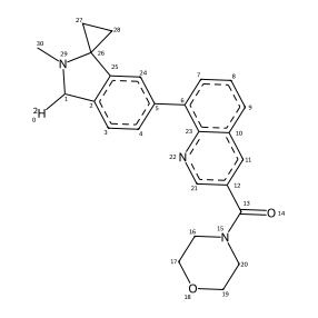 [2H]C1c2ccc(-c3cccc4cc(C(=O)N5CCOCC5)cnc34)cc2C2(CC2)N1C